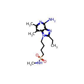 CCc1nc2c(N)nc(C)c(C)c2n1CCCCS(=O)(=O)NC